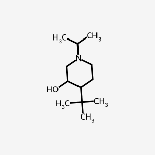 CC(C)N1CCC(C(C)(C)C)C(O)C1